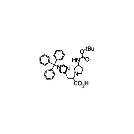 CC(C)(C)OC(=O)N[C@H]1CCN([C@H](Cc2cn(C(c3ccccc3)(c3ccccc3)c3ccccc3)cn2)C(=O)O)C1